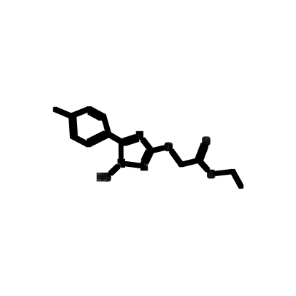 CCOC(=O)COc1nc(-c2ccc(C)cc2)n(O)n1